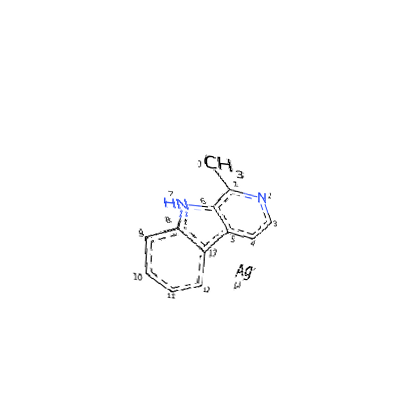 Cc1nccc2c1[nH]c1ccccc12.[Ag]